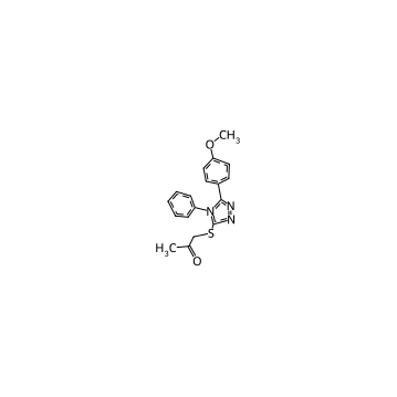 COc1ccc(-c2nnc(SCC(C)=O)n2-c2ccccc2)cc1